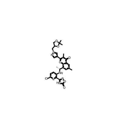 Cc1cc([C@@H](C)Nc2ccc(Cl)nc2-c2noc(=O)[nH]2)c2oc(-c3cnn(CC4COC(C)(C)O4)c3)c(C)c(=O)c2c1